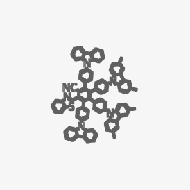 Cc1ccc2c(c1)c1cc(C)ccc1n2-c1ccc(-c2c(-c3ccc(-n4c5ccccc5c5ccccc54)cc3)c(C#N)c(-c3nc4ccccc4s3)c(-c3ccc(-n4c5ccccc5c5ccccc54)cc3)c2-c2ccc(-n3c4ccc(C)cc4c4cc(C)ccc43)cc2)cc1